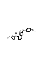 O[C@H]1CC[C@@H](Nc2cccc3nc(Nc4ccc(C(F)(F)F)cc4)nn23)C1